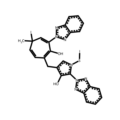 CC1(I)C=CC(Cc2cn(SI)c(-n3nc4ccccc4n3)c2O)=C(O)C(n2nc3ccccc3n2)=C1